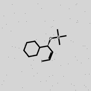 C[Si](C)(C)O[C@@H](/C=C\I)C1CCCCC1